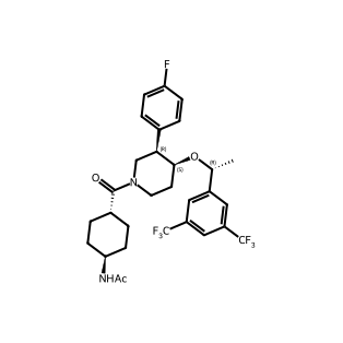 CC(=O)N[C@H]1CC[C@H](C(=O)N2CC[C@H](O[C@H](C)c3cc(C(F)(F)F)cc(C(F)(F)F)c3)[C@H](c3ccc(F)cc3)C2)CC1